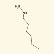 BNCCCCCC